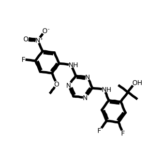 COc1cc(F)c([N+](=O)[O-])cc1Nc1ncnc(Nc2cc(F)c(F)cc2C(C)(C)O)n1